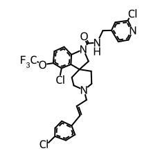 O=C(NCc1ccnc(Cl)c1)N1CC2(CCN(CC=Cc3ccc(Cl)cc3)CC2)c2c1ccc(OC(F)(F)F)c2Cl